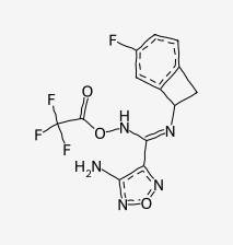 Nc1nonc1C(=NC1Cc2ccc(F)cc21)NOC(=O)C(F)(F)F